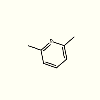 Cc1bc(C)ccc1